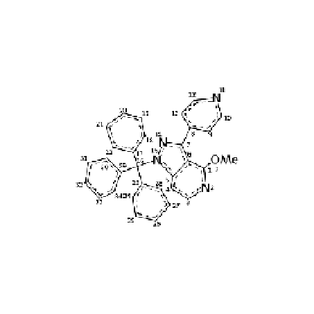 COc1nccc2c1c(-c1ccncc1)nn2C(c1ccccc1)(c1ccccc1)c1ccccc1